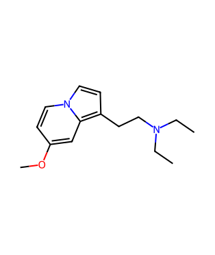 CCN(CC)CCc1ccn2ccc(OC)cc12